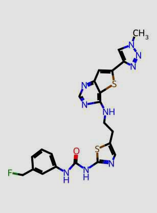 Cn1cc(-c2cc3ncnc(NCCc4cnc(NC(=O)Nc5cccc(CF)c5)s4)c3s2)nn1